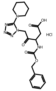 Cl.O=C(O)CC(NC(=O)OCc1ccccc1)C(=O)Cn1nnnc1N1CCCCC1